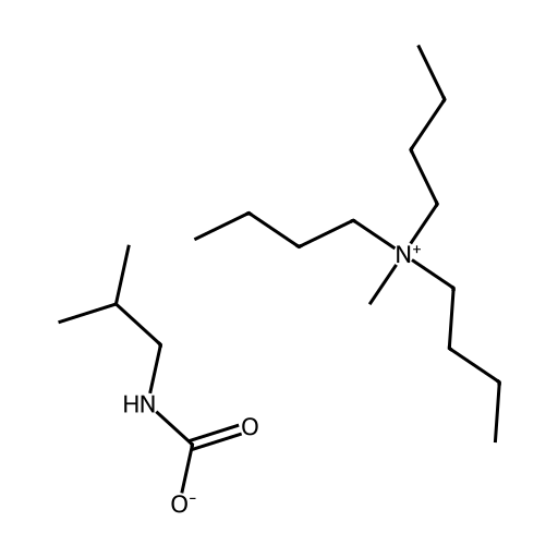 CC(C)CNC(=O)[O-].CCCC[N+](C)(CCCC)CCCC